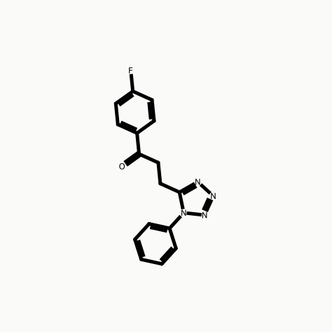 O=C(CCc1nnnn1-c1ccccc1)c1ccc(F)cc1